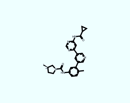 Cc1ccc(NC(=O)N2CC[C@@H](I)C2)cc1-c1cncc(-c2cc(NC(=O)C3CC3)ncn2)c1